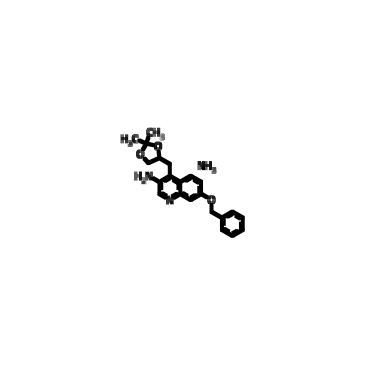 CC1(C)OCC(Cc2c(N)cnc3cc(OCc4ccccc4)ccc23)O1.N